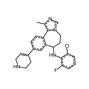 Cc1nnn2c1-c1ccc(C3=CCNCC3)cc1C(Nc1c(F)cccc1Cl)CC2